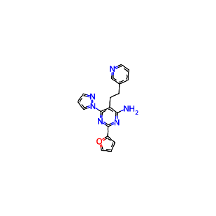 Nc1nc(-c2ccco2)nc(-n2cccn2)c1CCc1cccnc1